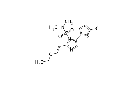 CCO/C=C/c1ncc(-c2ccc(Cl)s2)n1S(=O)(=O)N(C)C